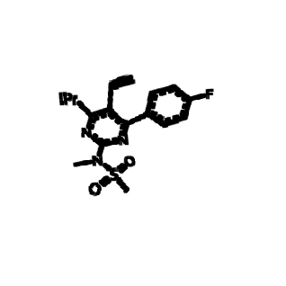 C=Cc1c(-c2ccc(F)cc2)nc(N(C)S(C)(=O)=O)nc1C(C)C